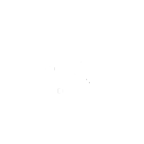 CCC(C)C(CC)C1C(C)CN1C